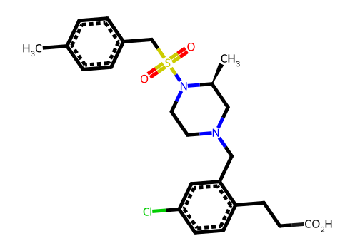 Cc1ccc(CS(=O)(=O)N2CCN(Cc3cc(Cl)ccc3CCC(=O)O)C[C@@H]2C)cc1